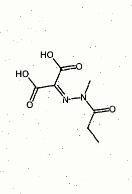 CCC(=O)N(C)N=C(C(=O)O)C(=O)O